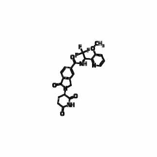 COc1cccnc1[C@@H](NC(=O)c1ccc2c(c1)CN(C1CCC(=O)NC1=O)C2=O)C(F)(F)F